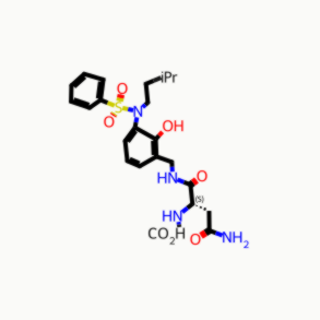 CC(C)CCN(c1cccc(CNC(=O)[C@H](CC(N)=O)NC(=O)O)c1O)S(=O)(=O)c1ccccc1